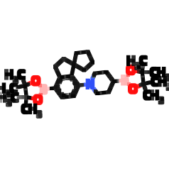 CC1(C)OB(c2ccc(N3CCC(B4OC(C)(C)C(C)(C)O4)CC3)c3c2CCC32CCCC2)OC1(C)C